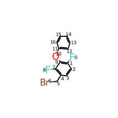 Fc1ccc(CBr)c(F)c1Oc1ccccc1